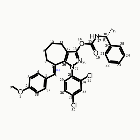 COc1ccc(/C=C2\CCCCc3c(OC(=O)N[C@H](C)c4ccccc4)nn(-c4ccc(Cl)cc4Cl)c32)cc1